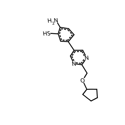 Nc1ccc(-c2cnc(COC3CCCC3)nc2)cc1S